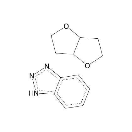 C1CC2OCCC2O1.c1ccc2[nH]nnc2c1